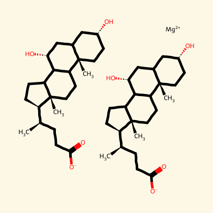 C[C@H](CCC(=O)[O-])[C@H]1CCC2C3C(CC[C@@]21C)[C@@]1(C)CC[C@@H](O)CC1C[C@H]3O.C[C@H](CCC(=O)[O-])[C@H]1CCC2C3C(CC[C@@]21C)[C@@]1(C)CC[C@@H](O)CC1C[C@H]3O.[Mg+2]